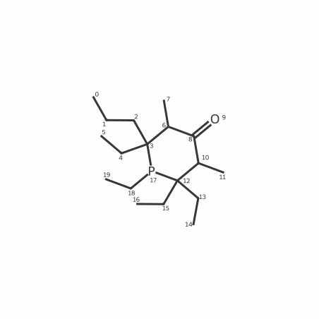 CCCC1(CC)C(C)C(=O)C(C)C(CC)(CC)P1CC